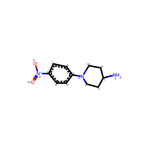 NC1CCN(c2ccc([N+](=O)[O-])cc2)CC1